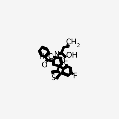 C=CCC(=NC1(C)C=CC(c2ccsc2)(c2ccc(F)cc2F)C=C1C(=O)c1ccccc1)C(=O)O